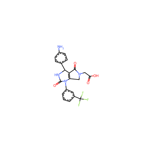 Nc1ccc(C2NC(=O)N(c3cccc(C(F)(F)F)c3)C3=C2C(=O)N(CC(=O)O)C3)cc1